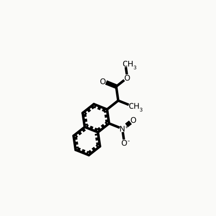 COC(=O)C(C)c1ccc2ccccc2c1[N+](=O)[O-]